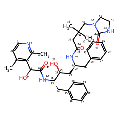 Cc1ccnc(C)c1C(O)C(=O)N[C@@H](Cc1ccccc1)[C@@H](O)C[C@H](Cc1ccccc1)NC(=O)CC(C)(C)CN1CCNC1=O